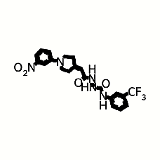 O=C(C=C1CCN(c2cccc([N+](=O)[O-])c2)CC1)NNC(=O)Nc1cccc(C(F)(F)F)c1